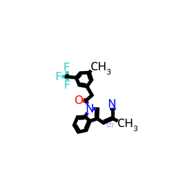 C/C(C#N)=C/c1cn(C(=O)Cc2cc(C)cc(C(F)(F)F)c2)c2ccccc12